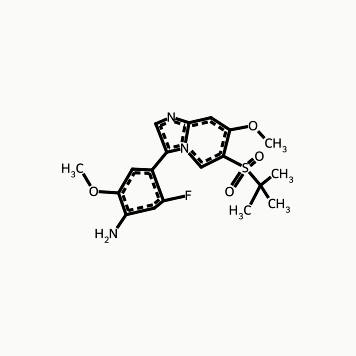 COc1cc(-c2cnc3cc(OC)c(S(=O)(=O)C(C)(C)C)cn23)c(F)cc1N